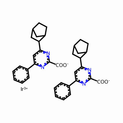 O=C([O-])c1nc(-c2ccccc2)cc(C2CC3CCC2C3)n1.O=C([O-])c1nc(-c2ccccc2)cc(C2CC3CCC2C3)n1.[Ir+3]